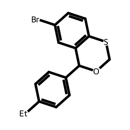 CCc1ccc(C2OCSc3ccc(Br)cc32)cc1